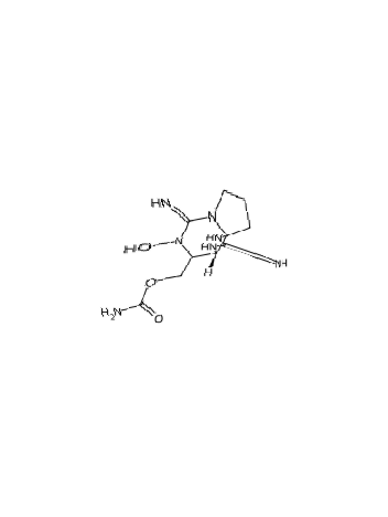 N=C1N[C@H]2C(COC(N)=O)N(O)C(=N)N3CCCC23N1